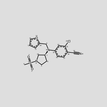 CS(=O)(=O)N1CC[C@H](N(Cc2ccco2)c2ccc(C#N)c(Cl)c2)C1